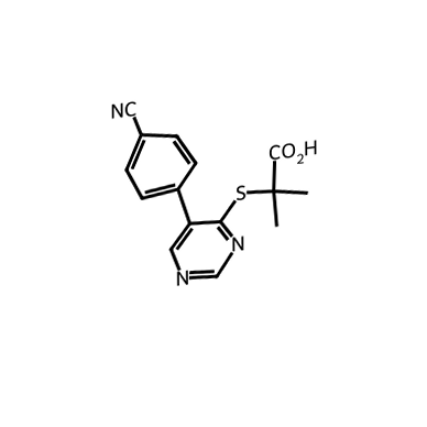 CC(C)(Sc1ncncc1-c1ccc(C#N)cc1)C(=O)O